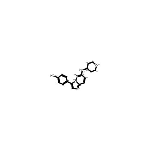 [CH]c1ccc(-c2cnc3ccc(NC4CCOCC4)nn23)cc1